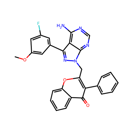 COc1cc(F)cc(-c2nn(Cc3oc4ccccc4c(=O)c3-c3ccccc3)c3ncnc(N)c23)c1